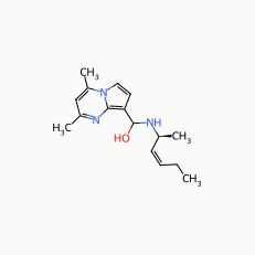 CC/C=C\[C@H](C)NC(O)c1ccn2c(C)cc(C)nc12